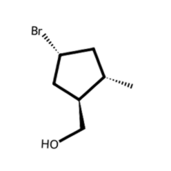 C[C@H]1C[C@@H](Br)C[C@@H]1CO